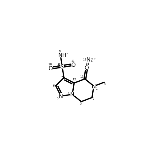 CN1CCn2ncc(S([NH-])(=O)=O)c2C1=O.[Na+]